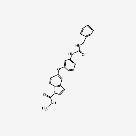 CNC(=O)n1ccc2cc(Oc3ccnc(NC(=O)NCc4ccccc4)c3)ccc21